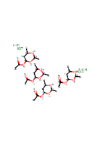 CC(=O)OC1CC(C)OC(C)O1.CC(=O)OC1CC(C)OC(C)O1.CC(=O)OC1CC(C)OC(C)O1.CC(=O)OC1CC(C)OC(C)O1.Cl.Cl.Cl.Cl